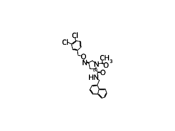 CC(=O)N1CC(=NOCc2ccc(Cl)c(Cl)c2)C[C@H]1C(=O)NCc1cccc2ccccc12